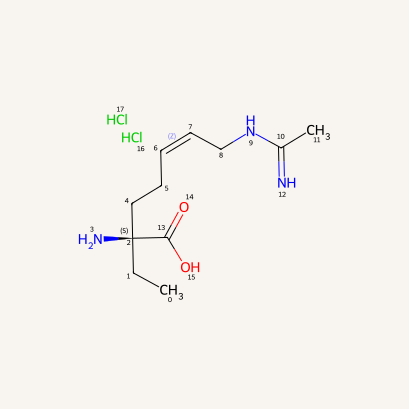 CC[C@](N)(CC/C=C\CNC(C)=N)C(=O)O.Cl.Cl